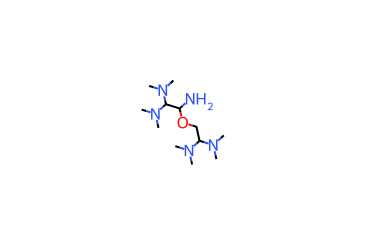 CN(C)C(COC(N)C(N(C)C)N(C)C)N(C)C